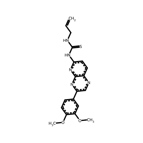 C=CCNC(=S)Nc1ccc2ncc(-c3ccc(OC)c(OC)c3)nc2n1